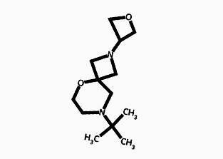 CC(C)(C)N1CCOC2(CN(C3COC3)C2)C1